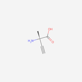 C#C[C@](C)(N)C(=O)O